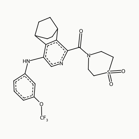 O=C(c1ncc(Nc2cccc(OC(F)(F)F)c2)c2c1C1CCC2CC1)N1CCS(=O)(=O)CC1